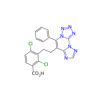 O=C(O)c1ccc(Cl)c(CCc2c(-c3ccccc3)n3nnnc3n3ncnc23)c1Cl